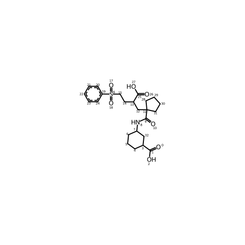 O=C(O)C1CCCC(NC(=O)C2(CC(CCS(=O)(=O)c3ccccc3)C(=O)O)CCCC2)C1